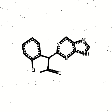 CC(=O)C(c1ncc2nc[nH]c2n1)c1ccccc1Cl